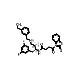 CCc1cccc(CNC[C@H](O)[C@H](Cc2cc(F)cc(F)c2)NC(=O)CCC(=O)n2c(=S)sc3ccccc32)c1